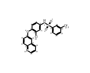 O=S(=O)(Nc1ccc(Oc2ccc3ncccc3c2)c(Cl)c1)c1cccc(C(F)(F)F)c1